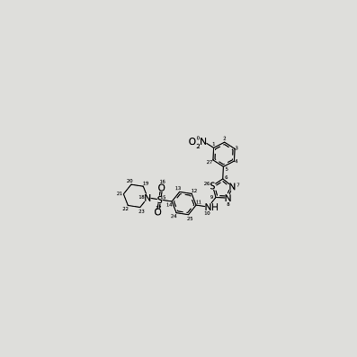 O=[N+]([O-])c1cccc(-c2nnc(Nc3ccc(S(=O)(=O)N4CCCCC4)cc3)s2)c1